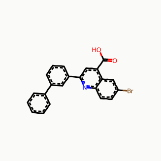 O=C(O)c1cc(-c2cccc(-c3ccccc3)c2)nc2ccc(Br)cc12